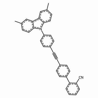 Cc1ccc2c(c1)c1cc(C)ccc1n2-c1ccc(C#Cc2ccc(-c3ccccc3C#N)cc2)cc1